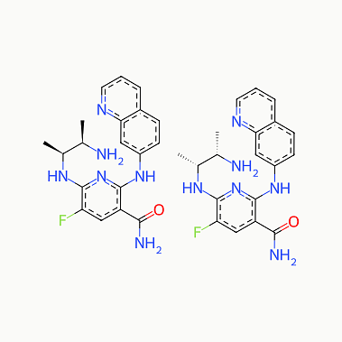 C[C@H](N)[C@@H](C)Nc1nc(Nc2ccc3cccnc3c2)c(C(N)=O)cc1F.C[C@H](Nc1nc(Nc2ccc3cccnc3c2)c(C(N)=O)cc1F)[C@@H](C)N